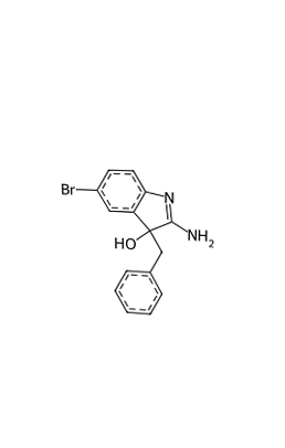 NC1=Nc2ccc(Br)cc2C1(O)Cc1ccccc1